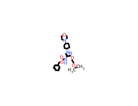 CC(C)OCCOc1nn([C@H]2CC[C@H](N3CCOCC3)CC2)cc1NC(=O)OCc1ccccc1